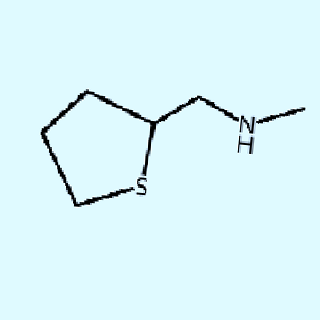 CNCC1CCCS1